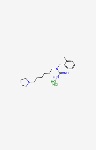 Cc1ccccc1CN(CCCCCCN1CCCC1)C(=N)N.Cl.Cl